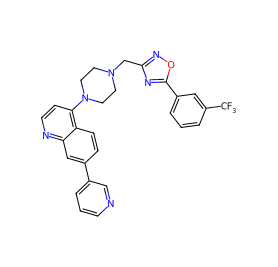 FC(F)(F)c1cccc(-c2nc(CN3CCN(c4ccnc5cc(-c6cccnc6)ccc45)CC3)no2)c1